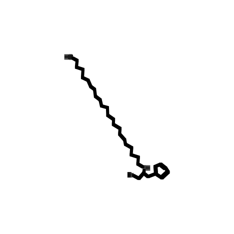 OCCCCCCCCCCCCCCCCCCCCCCPC(CBr)Cc1ccccc1